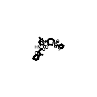 Cc1c(C(=O)NC(CC(C)C)C(=O)N[C@H]2CCCN(S(=O)(=O)c3cccs3)CC2=O)oc2ccccc12